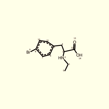 CCNC(Cc1ccc(Br)cc1)C(=O)O